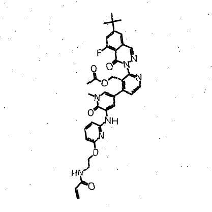 C=CC(=O)NCCOc1cccc(Nc2cc(-c3ccnc(-n4ncc5cc(C(C)(C)C)cc(F)c5c4=O)c3COC(C)=O)cn(C)c2=O)n1